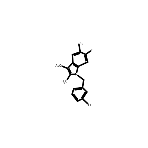 CC(=O)Oc1c(C)n(Cc2cccc(Cl)c2)c2cc(F)c(C(F)(F)F)cc12